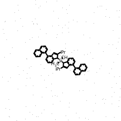 CC(C)C1=Cc2c(-c3cccc4ccccc34)cccc2C1[Si](C)(C)C1C(C(C)C)=Cc2c(-c3cccc4ccccc34)cccc21